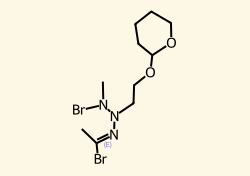 C/C(Br)=N\N(CCOC1CCCCO1)N(C)Br